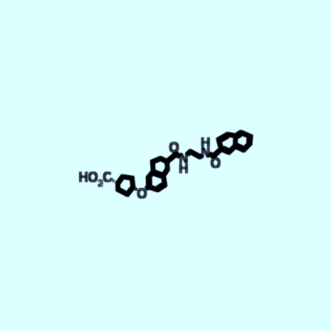 O=C(NCCNC(=O)C1CCc2cc(O[C@H]3CC[C@@H](C(=O)O)CC3)ccc2C1)c1ccc2ccccc2c1